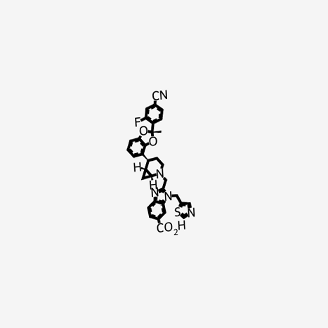 C[C@]1(c2ccc(C#N)cc2F)Oc2cccc([C@H]3CCN(Cc4nc5ccc(C(=O)O)cc5n4Cc4cncs4)[C@@H]4C[C@H]34)c2O1